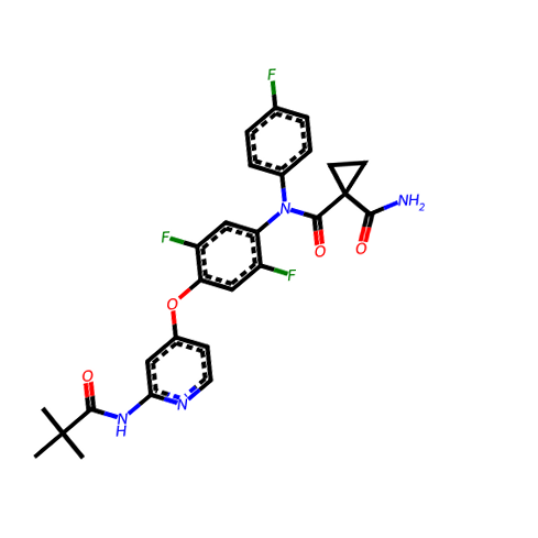 CC(C)(C)C(=O)Nc1cc(Oc2cc(F)c(N(C(=O)C3(C(N)=O)CC3)c3ccc(F)cc3)cc2F)ccn1